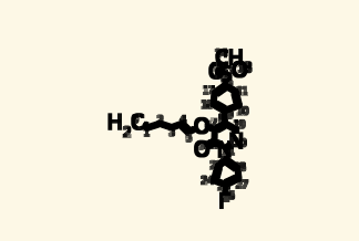 C=CCCC=COc1c(-c2ccc(S(C)(=O)=O)cc2)cnn(-c2ccc(F)cc2)c1=O